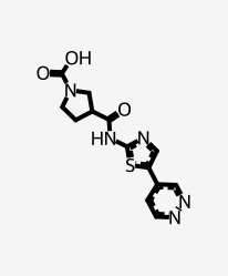 O=C(Nc1ncc(-c2ccnnc2)s1)C1CCN(C(=O)O)C1